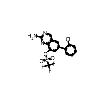 Nc1ncc2cc(-c3ccccc3Cl)cc(OS(=O)(=O)C(F)(F)F)c2n1